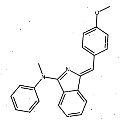 COc1ccc(/C=C2\N=C(N(C)c3ccccc3)c3ccccc32)cc1